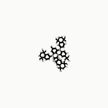 Cc1cc2c3c(c1)N(c1ccc4c(c1)C(C)(C)CCC4(C)C)c1oc4cc5c(cc4c1B3c1cc(C(C)(C)C)ccc1N2c1ccc2c(c1)C(C)(C)CCC2(C)C)C(C)(C)CCC5(C)C